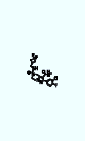 NC(=O)c1c(-c2ccc(F)c(Cl)c2)nn2c1CN(C(=O)NCC1CC(F)(F)C1)CC2